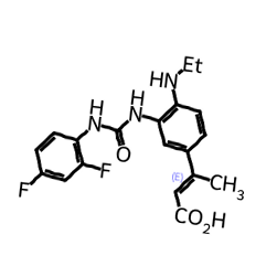 CCNc1ccc(/C(C)=C/C(=O)O)cc1NC(=O)Nc1ccc(F)cc1F